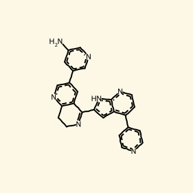 Nc1cncc(-c2cnc3c(c2)C(c2cc4c(-c5ccncc5)ccnc4[nH]2)=NCC3)c1